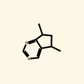 CC1CC(C)c2ncncc21